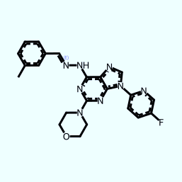 Cc1cccc(/C=N/Nc2nc(N3CCOCC3)nc3c2ncn3-c2ccc(F)cn2)c1